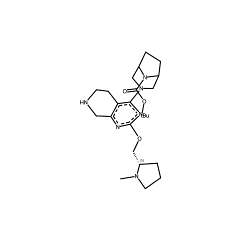 CN1CCC[C@H]1COc1nc2c(c(N3CC4CCC(C3)N4C(=O)OC(C)(C)C)n1)CCNC2